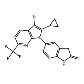 O=C1Cc2cc(-n3c(C4CC4)c(Br)c4ccc(C(F)(F)F)nc43)ccc2N1